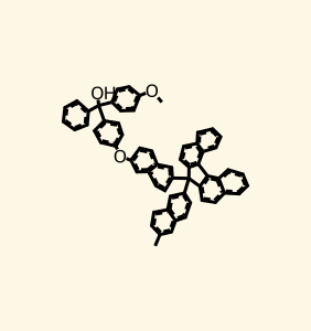 COc1ccc(C(O)(c2ccccc2)c2ccc(Oc3ccc4cc(C5(c6ccc7cc(C)ccc7c6)c6ccc7ccccc7c6-c6c5ccc5ccccc65)ccc4c3)cc2)cc1